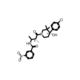 CC(NC(=O)c1cccc([N+](=O)[O-])c1)[C@@H](C)C(=O)N1CC[C@](O)(c2ccc(Cl)cc2)C(C)(C)C1